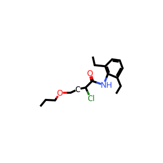 CCCOCCC(Cl)C(=O)Nc1c(CC)cccc1CC